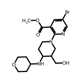 COC(=O)c1cc(Br)cnc1N1CCC(NC2CCOCC2)C(CO)C1